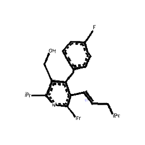 CC(C)C/C=C/c1c(C(C)C)nc(C(C)C)c(CO)c1-c1ccc(F)cc1